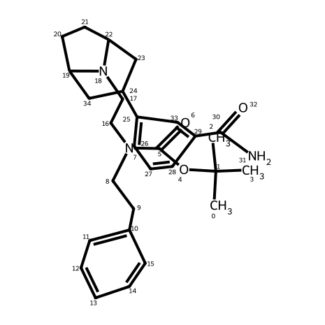 CC(C)(C)OC(=O)N(CCc1ccccc1)CCN1C2CCC1CC(c1cccc(C(N)=O)c1)C2